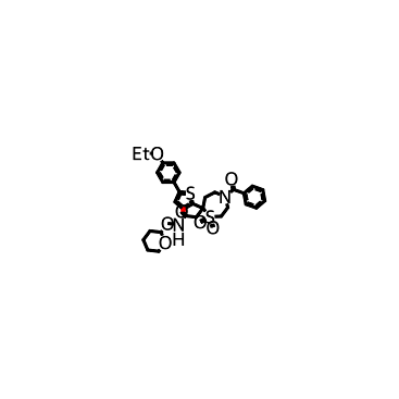 CCOc1ccc(-c2ccc(C3(CC(=O)NOC4CCCCO4)CCN(C(=O)c4ccccc4)CCS3(=O)=O)s2)cc1